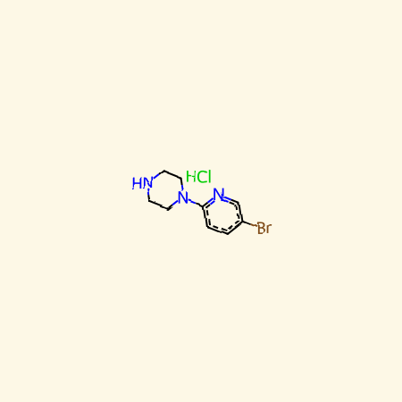 Brc1ccc(N2CCNCC2)nc1.Cl